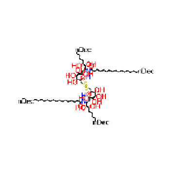 CCCCCCCCCCCCCCCCCCCCCCCCCC(=O)N[C@@H](C[C@]1(O)O[C@H](CSSC[C@H]2O[C@@](O)(C[C@H](NC(=O)CCCCCCCCCCCCCCCCCCCCCCCCC)[C@H](O)[C@H](O)CCCCCCCCCCCCCC)[C@H](O)[C@@H](O)[C@H]2O)[C@H](O)[C@H](O)[C@H]1O)[C@H](O)[C@H](O)CCCCCCCCCCCCCC